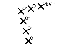 CC(C)(C)[O-].CC(C)(C)[O-].CC(C)(C)[O-].CC(C)(C)[O-].CC(C)(C)[O-].CC(C)(C)[O-].[K+].[V+5]